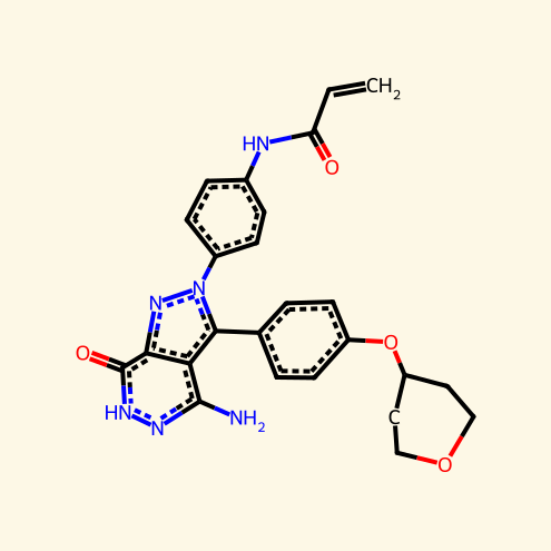 C=CC(=O)Nc1ccc(-n2nc3c(=O)[nH]nc(N)c3c2-c2ccc(OC3CCOCC3)cc2)cc1